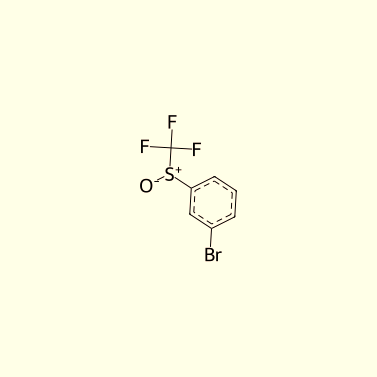 [O-][S+](c1cccc(Br)c1)C(F)(F)F